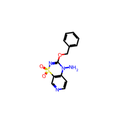 NN1C(OCc2ccccc2)=NS(=O)(=O)c2cnccc21